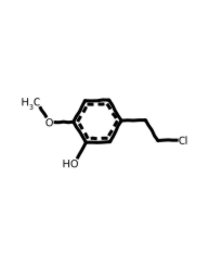 COc1ccc(CCCl)cc1O